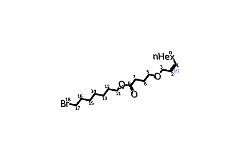 CCCCCC/C=C\COCCCC(=O)OCCCCCCCBr